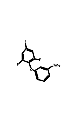 COc1cccc(Oc2c(F)cc(I)cc2F)c1